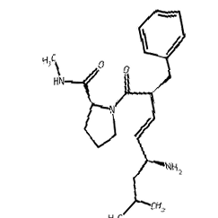 CNC(=O)[C@@H]1CCCN1C(=O)[C@H](/C=C/[C@@H](N)CC(C)C)Cc1ccccc1